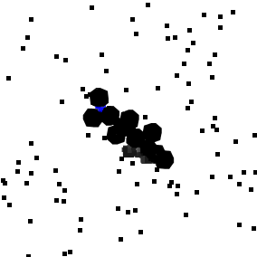 CC(C)(C)C1(C(C)(C)C)c2cc3ccccc3cc2-c2c1c1ccc(-c3c4ccccc4c(-c4ccc5c(c4)c4ccccc4n5-c4ccccc4)c4ccccc34)cc1c1ccccc21